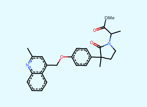 COC(=O)C(C)N1CCC(C)(c2ccc(OCc3cc(C)nc4ccccc34)cc2)C1=O